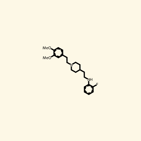 COc1ccc(CCN2CCC(CCNc3ccccc3F)CC2)cc1OC